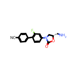 N#Cc1ccc(-c2ccc(N3C[C@H](CN)OC3=O)cc2F)cc1